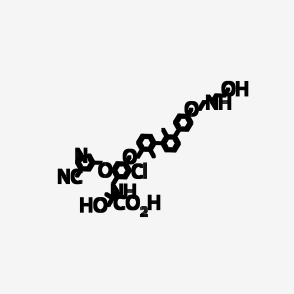 Cc1c(COc2cc(OCc3cncc(C#N)c3)c(CNC(C)(CO)C(=O)O)cc2Cl)cccc1-c1cccc(-c2ccc(OCCNCCO)cc2)c1C